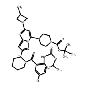 CC1CN(c2cc(N3CCN(C(=O)OC(C)(C)C)CC3)n3nc([C@@H]4CCCCN4C(=O)c4cc(Cl)ccc4NC(=O)OC(C)C)cc3n2)C1